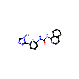 CC(C)n1cnnc1-c1cccc(NC(=O)Nc2nccc3ccccc23)n1